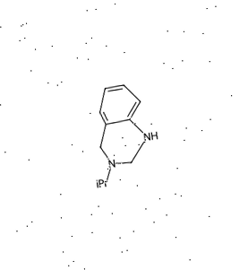 CC(C)N1CNc2ccccc2C1